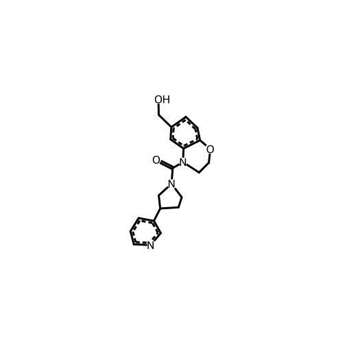 O=C(N1CCC(c2cccnc2)C1)N1CCOc2ccc(CO)cc21